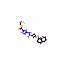 CCOC(=O)c1nnc(NC(=O)C2CC(Oc3cccc4cccnc34)C2)[nH]1